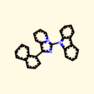 c1ccc2c(-c3nc(-n4c5ccccc5c5ccccc54)n4ccccc34)cccc2c1